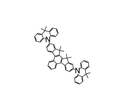 CC1(C)c2ccccc2N(c2ccc3c(c2)C(C)(C)c2c4c(c5ccccc5c2-3)-c2ccc(N3c5ccccc5C(C)(C)c5ccccc53)cc2C4(C)C)c2ccccc21